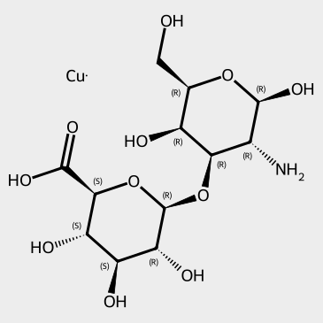 N[C@@H]1[C@@H](O[C@@H]2O[C@H](C(=O)O)[C@@H](O)[C@H](O)[C@H]2O)[C@@H](O)[C@@H](CO)O[C@H]1O.[Cu]